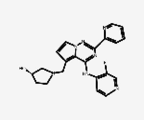 O[C@@H]1CCN(Cc2ccn3nc(-c4ccccn4)nc(Nc4ccncc4F)c23)C1